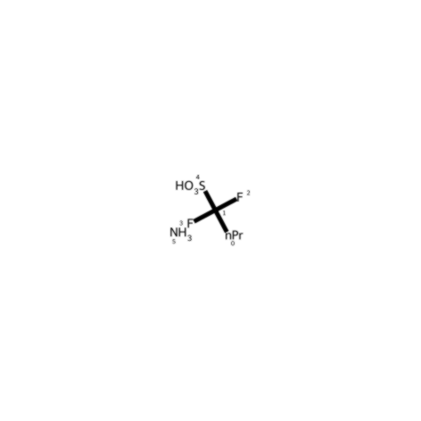 CCCC(F)(F)S(=O)(=O)O.N